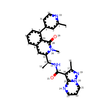 Cc1cc(-c2cccc3cc([C@H](C)NC(=O)c4c(C)nn5cccnc45)n(C)c(=O)c23)ccn1